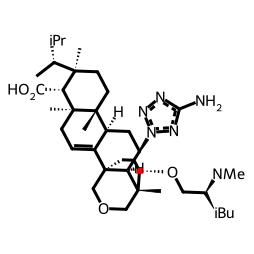 CC[C@H](C)[C@@H](CO[C@H]1[C@H](n2nnc(N)n2)C[C@@]23COC[C@]1(C)[C@@H]2CC[C@H]1C3=CC[C@@]2(C)[C@H](C(=O)O)[C@@](C)([C@H](C)C(C)C)CC[C@]12C)NC